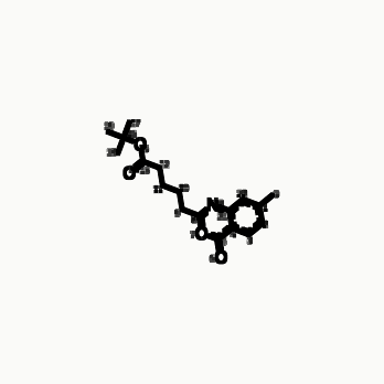 Cc1ccc2c(=O)oc(CCCCC(=O)OC(C)(C)C)nc2c1